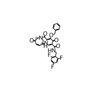 C[C@H]1C(=O)C=C[C@H]2CN1C(=O)c1c(OCc3ccccc3)c(=O)c(C(=O)NCc3c(F)cc(F)cc3F)cn12